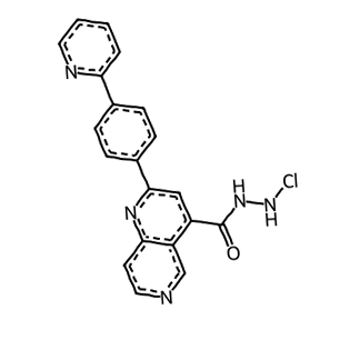 O=C(NNCl)c1cc(-c2ccc(-c3ccccn3)cc2)nc2ccncc12